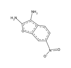 Nc1oc2cc([N+](=O)[O-])ccc2c1N